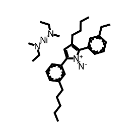 CCCCCc1cccc(C2=CC(CCCC)=C(c3cccc(CC)c3)[N+]2=[N-])c1.CC[N](C)[Ni][N](C)CC